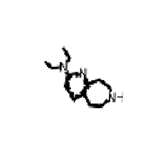 CCN(CC)c1ccc2c(n1)CCNCC2